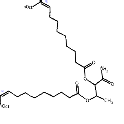 CCCCCCCC/C=C\CCCCCCCC(=O)OC(C)C(OC(=O)CCCCCCC/C=C\CCCCCCCC)C(N)=O